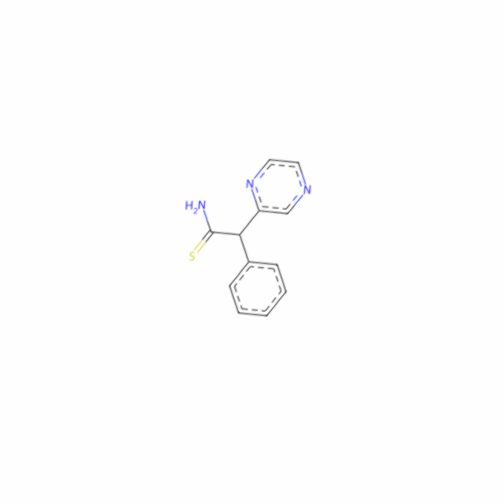 NC(=S)C(c1ccccc1)c1cnccn1